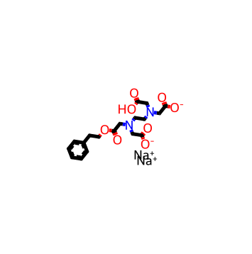 O=C([O-])CN(CCN(CC(=O)[O-])CC(=O)OCCc1ccccc1)CC(=O)O.[Na+].[Na+]